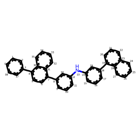 c1ccc(-c2ccc(-c3cccc(Nc4cccc(-c5cccc6ccccc56)c4)c3)c3ccccc23)cc1